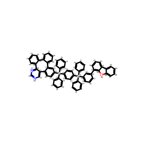 c1ccc([Si](c2ccccc2)(c2ccc([Si](c3ccccc3)(c3ccccc3)c3ccc4c(c3)-c3ccccc3-c3ccccc3-c3ncncc3-4)cc2)c2cccc(-c3cccc4c3oc3ccccc34)c2)cc1